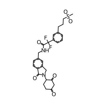 CS(=O)(=O)CCCc1cccc(C(F)(F)C(=O)NCc2ccc3c(c2)CN(C2CCC(=O)CC2=O)C3=O)c1